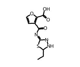 CCC1N[N]C(=NC(=O)c2ccoc2C(=O)O)S1